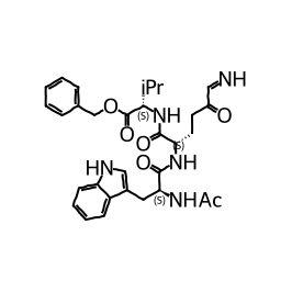 CC(=O)N[C@@H](Cc1c[nH]c2ccccc12)C(=O)N[C@@H](CCC(=O)C=N)C(=O)N[C@H](C(=O)OCc1ccccc1)C(C)C